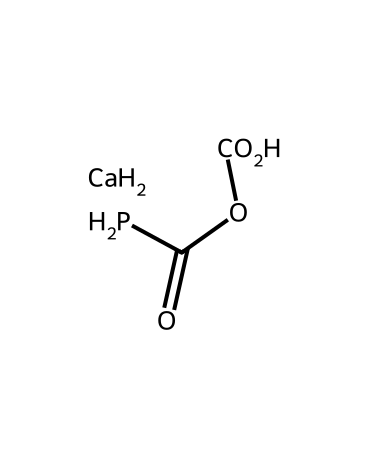 O=C(O)OC(=O)P.[CaH2]